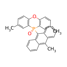 Cc1ccc2c(c1)P(=O)(c1c3ccccc3c(C)c3ccccc13)c1cc(C)ccc1O2